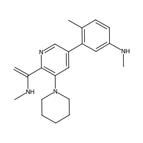 C=C(NC)c1ncc(-c2cc(NC)ccc2C)cc1N1CCCCC1